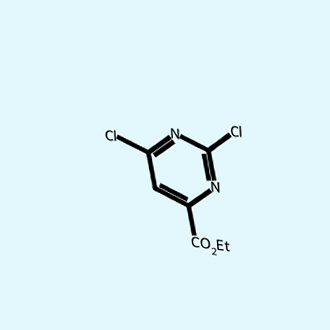 CCOC(=O)c1cc(Cl)nc(Cl)n1